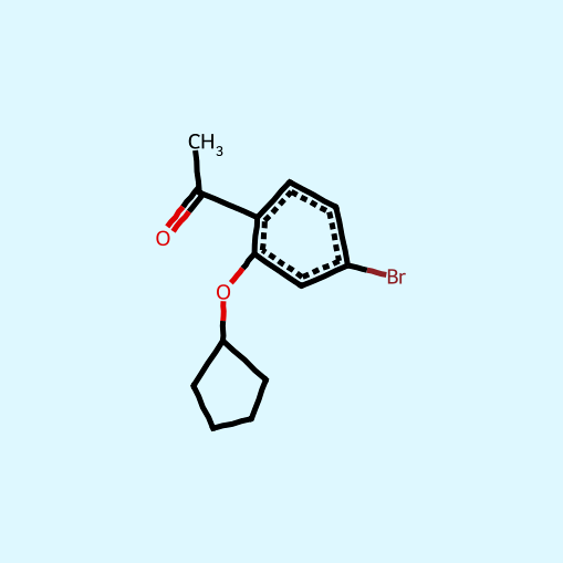 CC(=O)c1ccc(Br)cc1OC1CCCC1